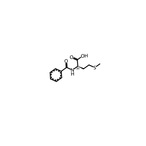 CSCC[C@@H](NC(=O)c1ccccc1)C(=O)O